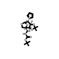 CC(C)(C)OC(=O)NC[C@@]12COC(O1)[C@H](n1cccc1)[C@H]1OC(C)(C)O[C@H]12